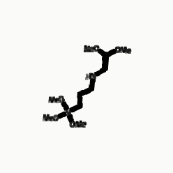 COC(=CNCCC[Si](OC)(OC)OC)OC